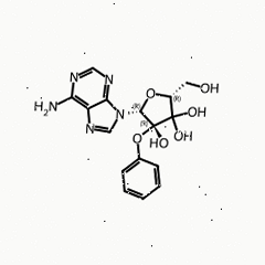 Nc1ncnc2c1ncn2[C@@H]1O[C@H](CO)C(O)(O)[C@]1(O)Oc1ccccc1